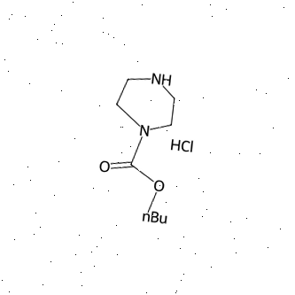 CCCCOC(=O)N1CCNCC1.Cl